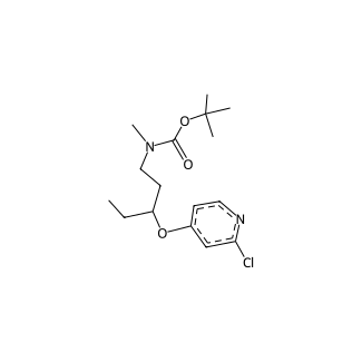 CCC(CCN(C)C(=O)OC(C)(C)C)Oc1ccnc(Cl)c1